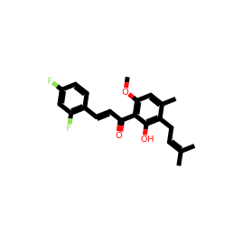 COc1cc(C)c(CC=C(C)C)c(O)c1C(=O)/C=C/c1ccc(F)cc1F